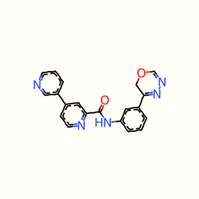 O=C(Nc1cccc(C2=NN=COC2)c1)c1cc(-c2cccnc2)ccn1